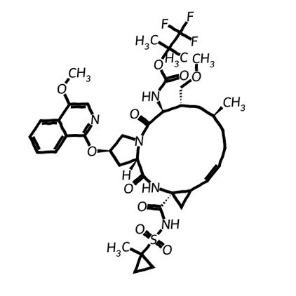 COC[C@@H]1C[C@@H](C)CC/C=C\C2C[C@@]2(C(=O)NS(=O)(=O)C2(C)CC2)NC(=O)[C@@H]2C[C@@H](Oc3ncc(OC)c4ccccc34)CN2C(=O)[C@H]1NC(=O)OC(C)(C)C(F)(F)F